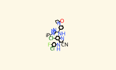 CC(C)n1cc([C@@H](Nc2cc(Cl)cc3c(Nc4ccc(F)c(Cl)c4)c(C#N)cnc23)c2cccc(N3CCCC3=O)c2)nn1